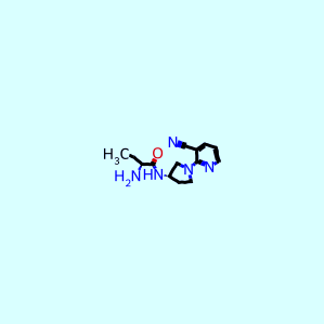 CC[C@H](N)C(=O)N[C@H]1CCN(c2ncccc2C#N)C1